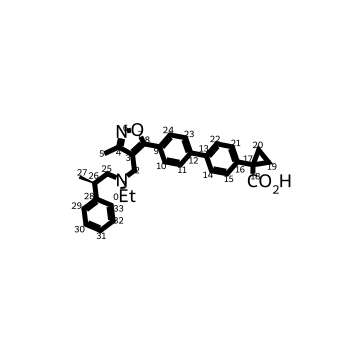 CCN(Cc1c(C)noc1-c1ccc(-c2ccc(C3(C(=O)O)CC3)cc2)cc1)C[C@H](C)c1ccccc1